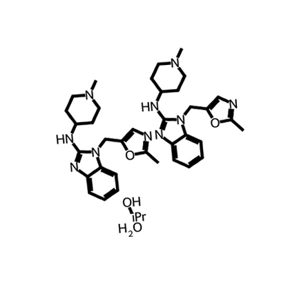 CC(C)O.Cc1ncc(Cn2c(NC3CCN(C)CC3)nc3ccccc32)o1.Cc1ncc(Cn2c(NC3CCN(C)CC3)nc3ccccc32)o1.O